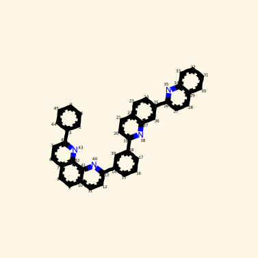 c1ccc(-c2ccc3ccc4ccc(-c5cccc(-c6ccc7ccc(-c8ccc9ccccc9n8)cc7n6)c5)nc4c3n2)cc1